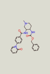 CN1CCC(NC(=O)OCc2ccccc2)C(NC(=O)c2ccc(-n3ccccc3=O)cc2)C1